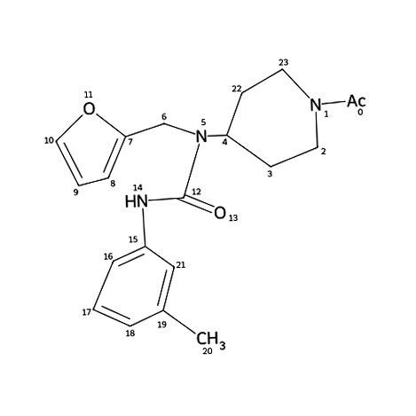 CC(=O)N1CCC(N(Cc2ccco2)C(=O)Nc2cccc(C)c2)CC1